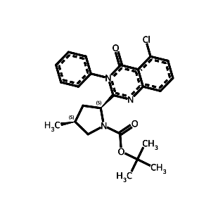 C[C@H]1C[C@@H](c2nc3cccc(Cl)c3c(=O)n2-c2ccccc2)N(C(=O)OC(C)(C)C)C1